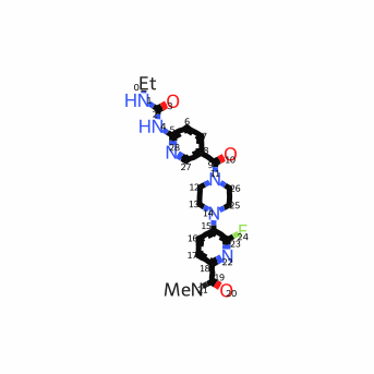 CCNC(=O)Nc1ccc(C(=O)N2CCN(c3ccc(C(=O)NC)nc3F)CC2)cn1